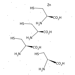 N[C@@H](CS)C(=O)O.N[C@@H](CS)C(=O)O.N[C@@H](CS)C(=O)O.N[C@@H](CS)C(=O)O.[Zn]